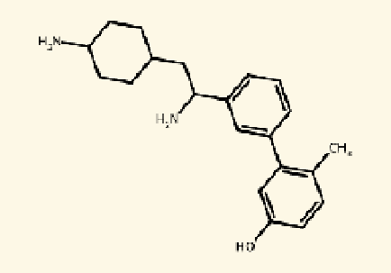 Cc1ccc(O)cc1-c1cccc(C(N)CC2CCC(N)CC2)c1